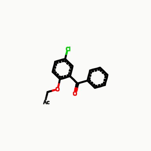 CC(=O)COc1ccc(Cl)cc1C(=O)c1ccccc1